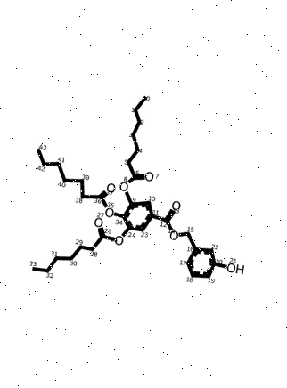 CCCCCCC(=O)Oc1cc(C(=O)OCc2cccc(O)c2)cc(OC(=O)CCCCCC)c1OC(=O)CCCCCC